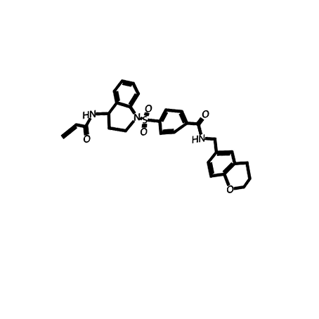 C=CC(=O)NC1CCN(S(=O)(=O)c2ccc(C(=O)NCc3ccc4c(c3)CCCO4)cc2)c2ccccc21